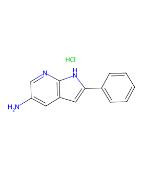 Cl.Nc1cnc2[nH]c(-c3ccccc3)cc2c1